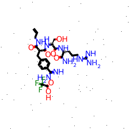 C=CCNC(=O)C(Cc1ccc(C(=N)N)cc1)C(=O)N[C@@H](CO)C(=O)N[C@@H](CCCNC(=N)N)C(N)=O.O=C(O)C(F)(F)F